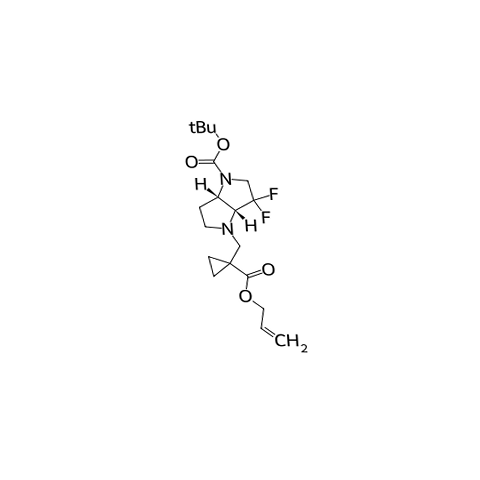 C=CCOC(=O)C1(CN2CC[C@H]3[C@@H]2C(F)(F)CN3C(=O)OC(C)(C)C)CC1